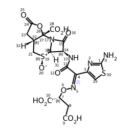 Nc1nc(/C(=N/O[C@H](CC(=O)O)C(=O)O)C(=O)N[C@@H]2C(=O)N3[C@@H]2[S@@+]([O-])C[C@@H]2CC(=O)O[C@@]23C(=O)O)cs1